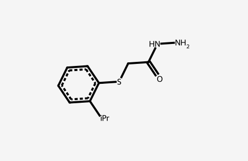 CC(C)c1ccccc1SCC(=O)NN